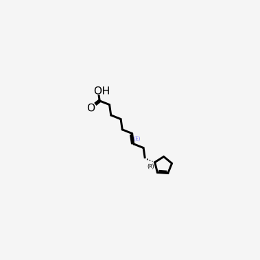 O=C(O)CCCC/C=C/CC[C@H]1C=CCC1